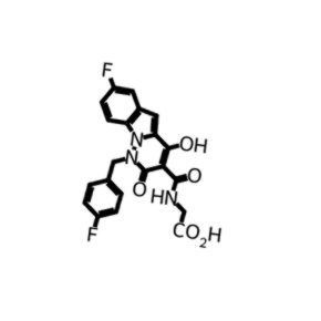 O=C(O)CNC(=O)c1c(O)c2cc3cc(F)ccc3n2n(Cc2ccc(F)cc2)c1=O